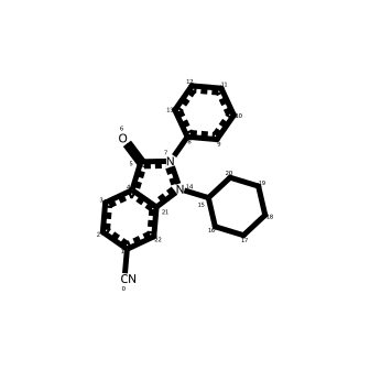 N#Cc1ccc2c(=O)n(-c3ccccc3)n(C3CCCCC3)c2c1